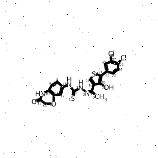 CC(=NNC(=S)Nc1ccc2c(c1)OCC(=O)N2)c1csc(-c2ccc(Cl)c(Cl)c2)c1O